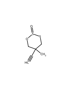 C#CC1(C)COS(=O)SC1